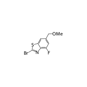 COCc1cc(F)c2nc(Br)sc2c1